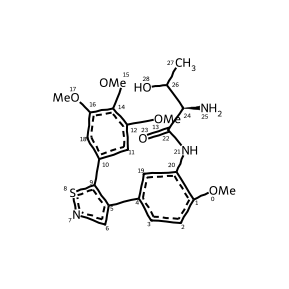 COc1ccc(-c2cnsc2-c2cc(OC)c(OC)c(OC)c2)cc1NC(=O)[C@H](N)C(C)O